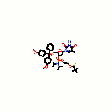 COc1ccc(C(OC[C@H]2O[C@@H](n3cc(C)c(=O)[nH]c3=O)C[C@H]2OP(OCCOC(=S)C(C)(C)C)N(C(C)C)C(C)C)(c2ccccc2)c2ccc(OC)cc2)cc1